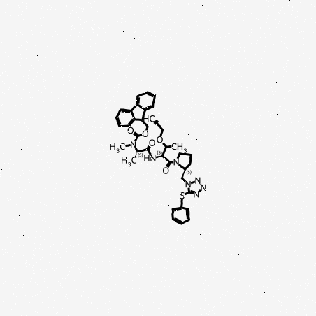 C#CCOC(C)[C@H](NC(=O)[C@H](C)N(C)C(=O)OCC1c2ccccc2-c2ccccc21)C(=O)N1CCC[C@H]1Cn1nnnc1Sc1ccccc1